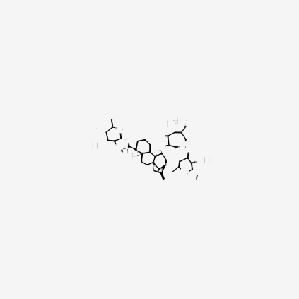 C=C1C[C@@]23CC[C@H]4[C@@](C)(CCC[C@@]4(C)C(=O)O[C@@H]4OC(CO)[C@@H](O)C(O)C4O)[C@@H]2CC[C@]1(CC1O[C@H](CO)C(O)C(O)[C@H]1O[C@@H]1OCC(CO)[C@@H](O)C(O)C1O)C3